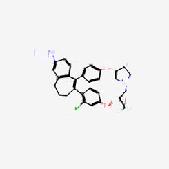 COc1ccc(C2=C(c3ccc(O[C@H]4CCN(CCCF)C4)cc3)c3ccc(N)cc3CCC2)c(Cl)c1